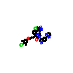 Cc1cc(OCCCc2c3n(c4c(-c5c(C)nn(C)c5C)c(Cl)ccc24)C(C)CN(c2cn(C)c4ccc(-c5ncccn5)cc24)C3=O)cc(C)c1Cl